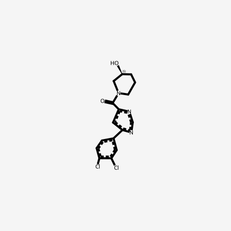 O=C(c1cc(-c2ccc(Cl)c(Cl)c2)ncn1)N1CCC[C@H](O)C1